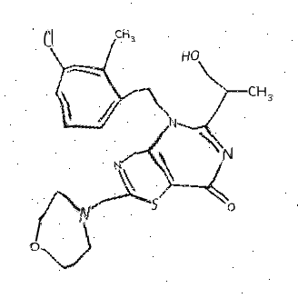 Cc1c(Cl)cccc1Cn1c(C(C)O)nc(=O)c2sc(N3CCOCC3)nc21